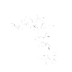 C=C(C)C(=O)Nc1ccc(Cl)c(Cl)c1.CCOCOc1ccc(C(=O)Nc2cccc(Cl)c2Cl)cc1.C[C@@H]1CC[C@H](C)N1C(=O)Nc1ccccc1.Cc1c(Cl)ccc(OC(C)C(=O)Nc2ccccc2)c1Cl.O=C(Nc1ccc(Cl)c(Cl)c1)C1CC1.O=C(Nc1ccc(F)cc1F)c1cccnc1Oc1cccc(C(F)(F)F)c1